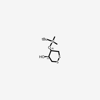 CC(C)(C)[Si](C)(C)O[C@H]1CSSC[C@H]1O